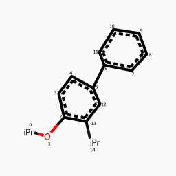 CC(C)Oc1ccc(-c2ccccc2)cc1C(C)C